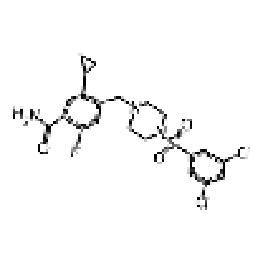 NC(=O)c1cc(C2CC2)c(CN2CCN(S(=O)(=O)c3cc(Cl)cc(Cl)c3)CC2)cc1F